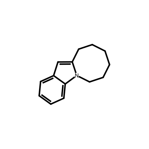 c1ccc2c(c1)cc1n2CCCCCC1